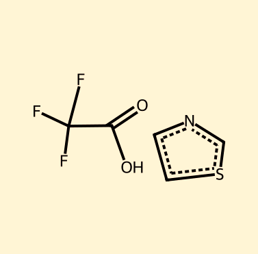 O=C(O)C(F)(F)F.c1cscn1